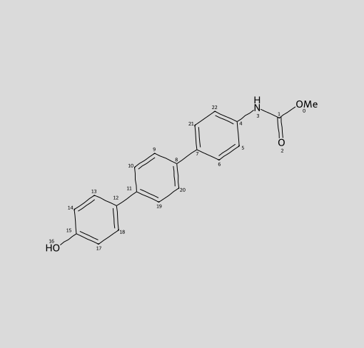 COC(=O)Nc1ccc(-c2ccc(-c3ccc(O)cc3)cc2)cc1